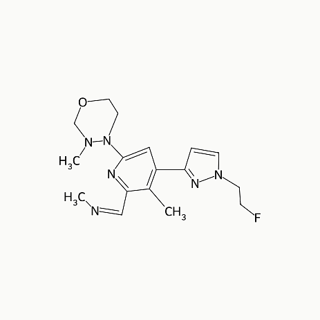 C/N=C\c1nc(N2CCOCN2C)cc(-c2ccn(CCF)n2)c1C